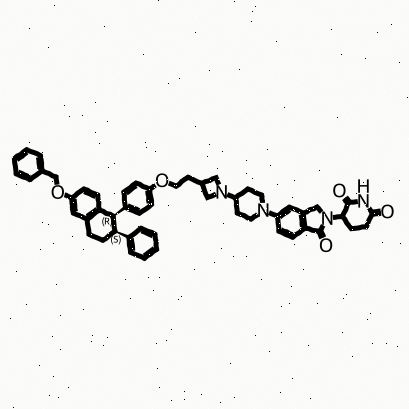 O=C1CCC(N2Cc3cc(N4CCC(N5CC(CCOc6ccc([C@@H]7c8ccc(OCc9ccccc9)cc8CC[C@@H]7c7ccccc7)cc6)C5)CC4)ccc3C2=O)C(=O)N1